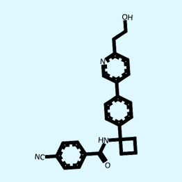 N#Cc1ccc(C(=O)NC2(c3ccc(-c4ccc(CCO)nc4)cc3)CCC2)cc1